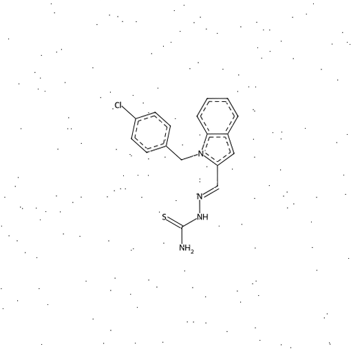 NC(=S)N/N=C/c1cc2ccccc2n1Cc1ccc(Cl)cc1